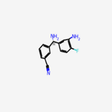 N#Cc1cccc([C@H](N)c2ccc(F)c(N)c2)c1